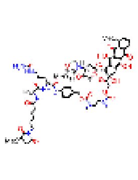 COc1cccc2c1C(=O)c1c(O)c3c(c(O)c1C2=O)C[C@@](O)(C(=O)COC(=O)N(C)CCN(C)C(=O)OCc1ccc(NC(=O)[C@H](CCCNC(N)=O)NC(=O)[C@@H](NC(=O)CCCCCN2C(=O)CC(SC)C2=O)C(C)C)cc1)C[C@H]3O[C@@H]1C[C@H]2[C@H](O[C@@H]3[C@@H](OC)OCCN32)[C@@H](C)O1